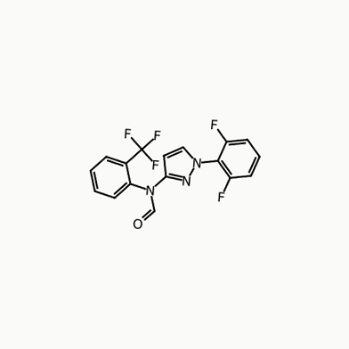 O=CN(c1ccn(-c2c(F)cccc2F)n1)c1ccccc1C(F)(F)F